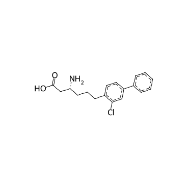 N[C@H](CCCc1ccc(-c2ccccc2)cc1Cl)CC(=O)O